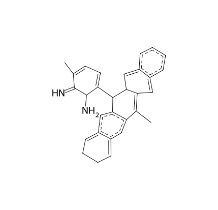 CC1=CC=C(C2c3cc4c(cc3C(C)=C3C=c5ccccc5=CC32)=CCCC=4)C(N)C1=N